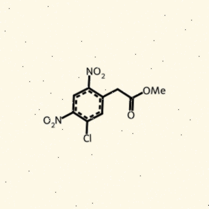 COC(=O)Cc1cc(Cl)c([N+](=O)[O-])cc1[N+](=O)[O-]